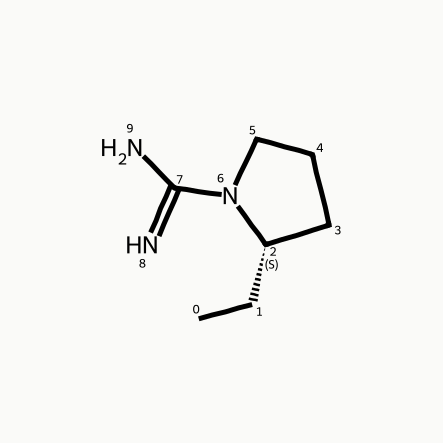 CC[C@H]1CCCN1C(=N)N